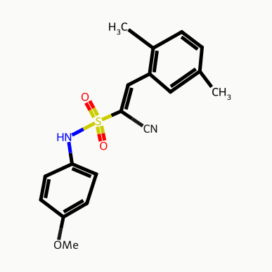 COc1ccc(NS(=O)(=O)/C(C#N)=C/c2cc(C)ccc2C)cc1